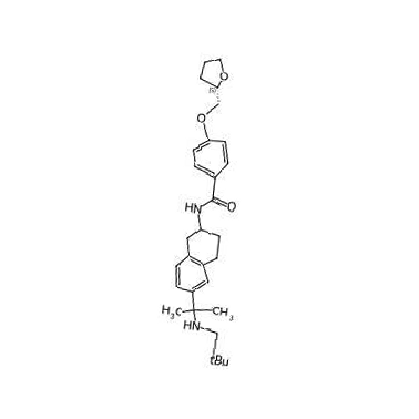 CC(C)(C)CNC(C)(C)c1ccc2c(c1)CCC(NC(=O)c1ccc(OC[C@@H]3CCCO3)cc1)C2